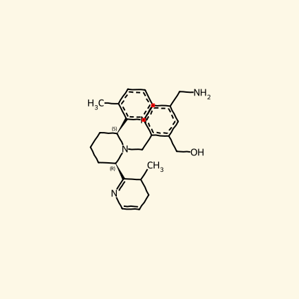 Cc1cccnc1[C@@H]1CCC[C@H](C2=NC=CCC2C)N1Cc1ccc(CN)cc1CO